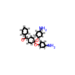 Nc1ccc(OC2(Oc3ccc(N)cc3)C=CC(C(=O)c3ccccc3)C=C2)cc1